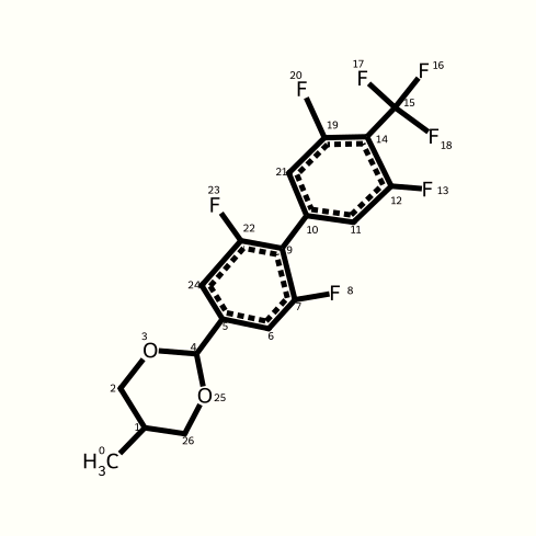 CC1COC(c2cc(F)c(-c3cc(F)c(C(F)(F)F)c(F)c3)c(F)c2)OC1